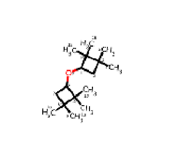 CC1(C)CC(OC2CC(C)(C)C2(C)C)C1(C)C